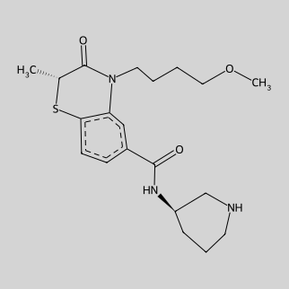 COCCCCN1C(=O)[C@@H](C)Sc2ccc(C(=O)N[C@@H]3CCCNC3)cc21